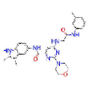 Cc1cccc(NC(=O)CNc2cc(C(=O)Nc3ccc4[nH]c(C)c(C)c4c3)nc(N3CCOCC3)n2)c1